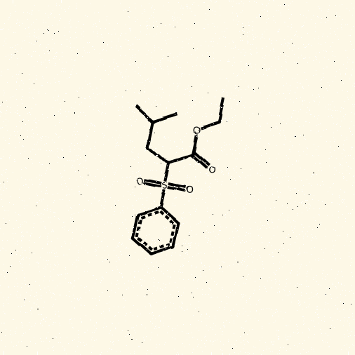 CCOC(=O)C(CC(C)C)S(=O)(=O)c1ccccc1